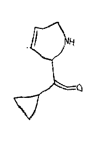 O=C(C1CC1)C1[C]=CCN1